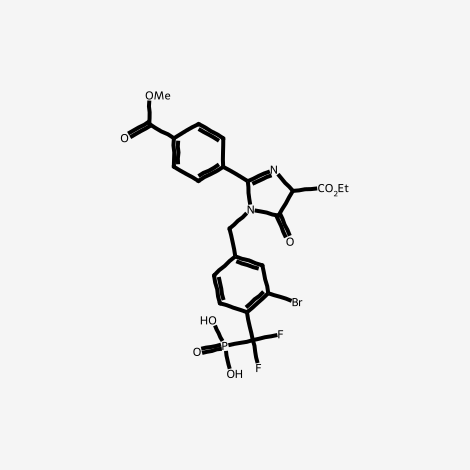 CCOC(=O)C1N=C(c2ccc(C(=O)OC)cc2)N(Cc2ccc(C(F)(F)P(=O)(O)O)c(Br)c2)C1=O